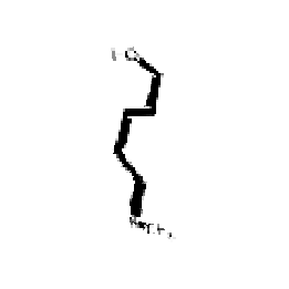 C/N=C/C=C\C=C/O